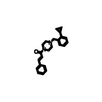 O=C(C=Cc1ccccc1)N1CCN(Cc2ccccc2C2CC2)CC1